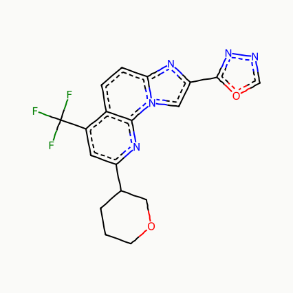 FC(F)(F)c1cc(C2CCCOC2)nc2c1ccc1nc(-c3nnco3)cn12